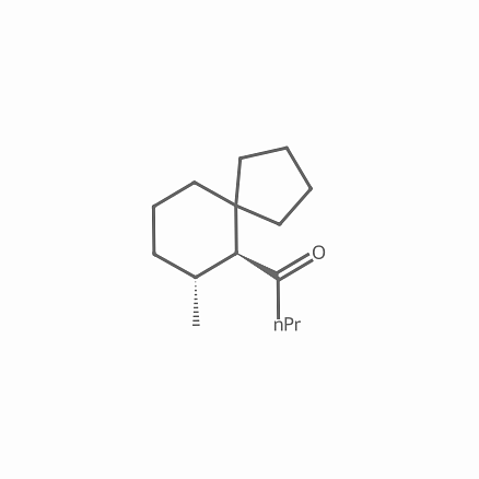 CCCC(=O)[C@H]1[C@H](C)CCCC12CCCC2